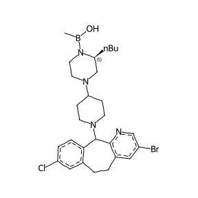 CCCC[C@H]1CN(C2CCN(C3c4ccc(Cl)cc4CCc4cc(Br)cnc43)CC2)CCN1B(C)O